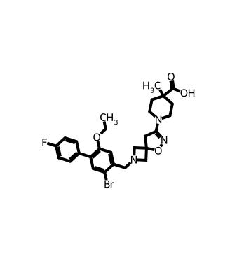 CCOc1cc(CN2CC3(CC(N4CCC(C)(C(=O)O)CC4)=NO3)C2)c(Br)cc1-c1ccc(F)cc1